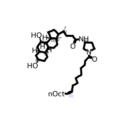 CCCCCCCC/C=C\CCCCCCCC(=O)N1CC[C@@H](NC(=O)CC[C@@H](C)C2CC[C@H]3[C@@H]4[C@H](O)C[C@@H]5C[C@H](O)CC[C@]5(C)[C@H]4CC[C@]23C)C1